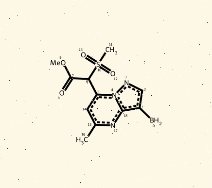 Bc1cnn2c(C(C(=O)OC)S(C)(=O)=O)cc(C)nc12